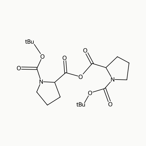 CC(C)(C)OC(=O)N1CCCC1C(=O)OC(=O)C1CCCN1C(=O)OC(C)(C)C